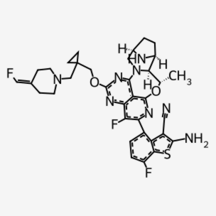 C[C@@H]1Oc2nc(-c3ccc(F)c4sc(N)c(C#N)c34)c(F)c3nc(OCC4(CN5CCC(=CF)CC5)CC4)nc(c23)N2C[C@H]3CC[C@H](N3)[C@@H]12